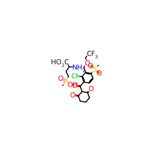 CP(=O)(O)CCC(N)C(=O)O.CS(=O)(=O)c1ccc(C(=O)C2C(=O)CCCC2=O)c(Cl)c1COCC(F)(F)F